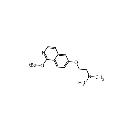 CN(C)CCOc1ccc2c(OC(C)(C)C)nccc2c1